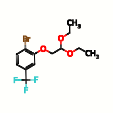 CCOC(COc1cc(C(F)(F)F)ccc1Br)OCC